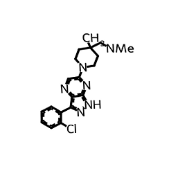 CNCC1(C)CCN(c2cnc3c(-c4ccccc4Cl)n[nH]c3n2)CC1